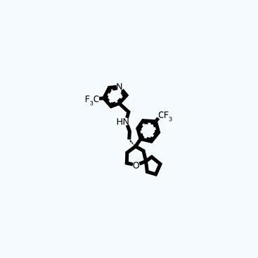 FC(F)(F)c1ccc([C@]2(CCNCc3cncc(C(F)(F)F)c3)CCOC3(CCCC3)C2)cc1